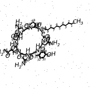 CCCCCCCCCCC[C@@H]1CC(=O)N[C@@H](CC(N)=O)C(=O)N[C@H](Cc2ccc(O)cc2)C(=O)N[C@@H](CC(N)=O)C(=O)N[C@@H](CCC(N)=O)C(=O)N[C@@H](CO)C(=O)N[C@@H](CC(N)=O)C(=O)N2CCC[C@H]2C(=O)N1